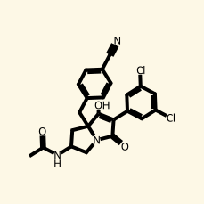 CC(=O)NC1CN2C(=O)C(c3cc(Cl)cc(Cl)c3)=C(O)C2(Cc2ccc(C#N)cc2)C1